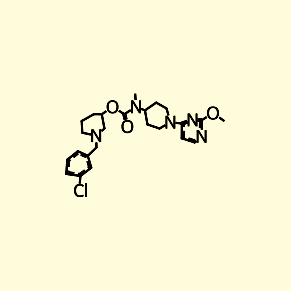 COc1nccc(N2CCC(N(C)C(=O)OC3CCCN(Cc4cccc(Cl)c4)C3)CC2)n1